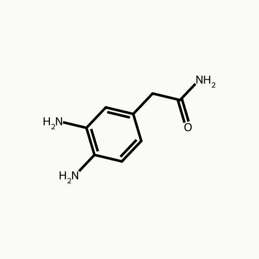 NC(=O)Cc1ccc(N)c(N)c1